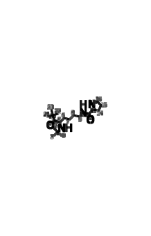 CC(C)(C)NC(CCCCNC(=O)C1CCC=N1)C(=O)C(C)(C)C